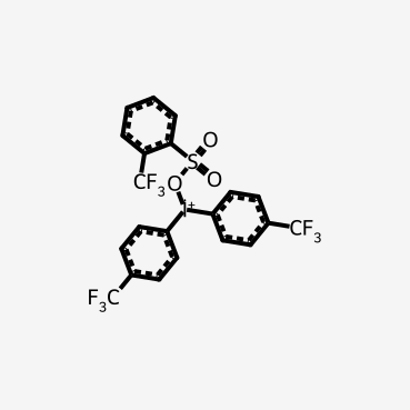 O=S(=O)(O[I+](c1ccc(C(F)(F)F)cc1)c1ccc(C(F)(F)F)cc1)c1ccccc1C(F)(F)F